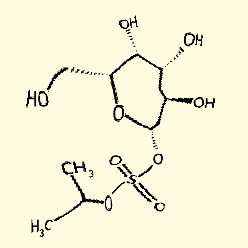 CC(C)OS(=O)(=O)O[C@@H]1O[C@H](CO)[C@H](O)[C@H](O)[C@H]1O